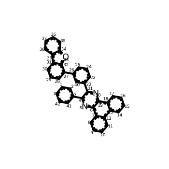 c1ccc(-c2nc3c4ccccc4c4ccccc4c3nc2-c2cccc(-c3cccc4c3oc3ccccc34)c2)cc1